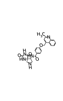 Cc1cc(COc2ccc(C(=O)NC3CNCC34NC(=O)NC4=O)cc2)c2ccccc2n1